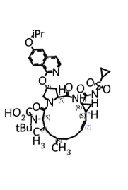 CC(C)Oc1ccc2c(O[C@@H]3C[C@H]4C(=O)N[C@]5(C(=O)NS(=O)(=O)C6CC6)C[C@H]5/C=C\CC[C@@H](C)C[C@@H](C)[C@H](N(C(=O)O)C(C)(C)C)C(=O)N4C3)nccc2c1